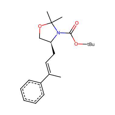 CC(=CC[C@H]1COC(C)(C)N1C(=O)OC(C)(C)C)c1ccccc1